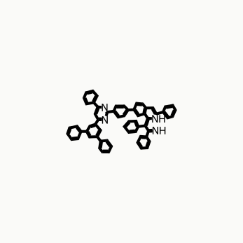 N=C(/C(=C1\NC(c2ccccc2)=Cc2ccc(-c3ccc(-c4nc(-c5ccccc5)cc(-c5cc(-c6ccccc6)cc(-c6ccccc6)c5)n4)cc3)cc21)c1ccccc1)c1ccccc1